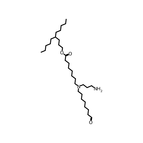 CCCCCC(CCCCC)CCCOC(=O)CCCCCCCN(CCCN)CCCCCCCC=O